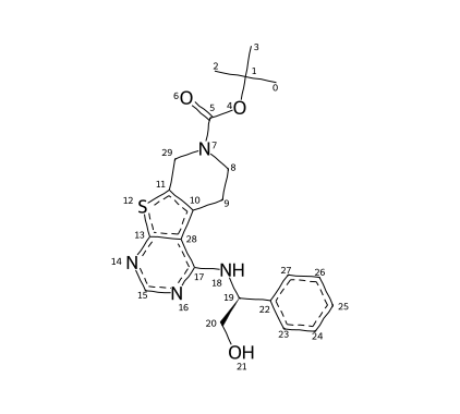 CC(C)(C)OC(=O)N1CCc2c(sc3ncnc(N[C@H](CO)c4ccccc4)c23)C1